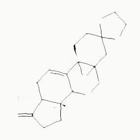 C[C@]12CC=C3[C@@H](OCC45CC6(CC[C@@]34O5)OCCO6)[C@@H]1CCC2=O